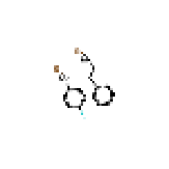 Fc1cc[c]([Mg][Br])cc1.[Br][Mg][CH2]Cc1ccccc1